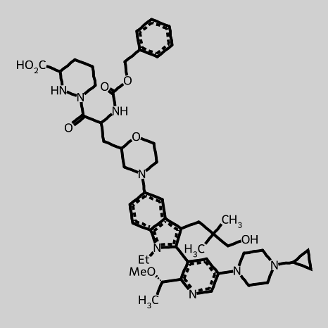 CCn1c(-c2cc(N3CCN(C4CC4)CC3)cnc2[C@H](C)OC)c(CC(C)(C)CO)c2cc(N3CCOC(CC(NC(=O)OCc4ccccc4)C(=O)N4CCCC(C(=O)O)N4)C3)ccc21